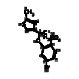 Cc1nc([C@@H](C)Oc2cc(Br)cnc2[N+](=O)[O-])cs1